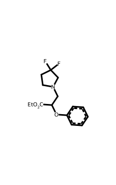 CCOC(=O)C(CN1CCC(F)(F)C1)Oc1ccccc1